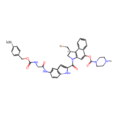 CC(=O)Nc1ccc(COC(=O)NCC(=O)Nc2ccc3[nH]c(C(=O)N4C[C@@H](CBr)c5c4cc(OC(=O)N4CCN(C)CC4)c4ccccc54)cc3c2)cc1